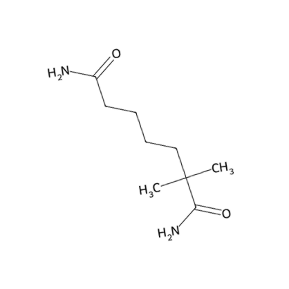 CC(C)(CCCCC(N)=O)C(N)=O